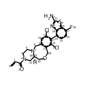 C=CC(=O)N1CCN2Cc3cc(Cl)c(-c4ccc(F)c5sc(N)nc45)c(Cl)c3COC[C@H]2C1